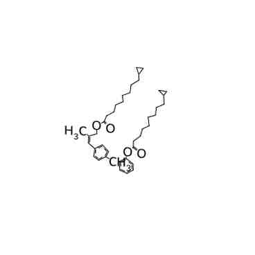 CC(=Cc1ccc(C)cc1)COC(=O)CCCCCCCCC1CC1.O=C(CCCCCCCCC1CC1)Oc1ccccc1